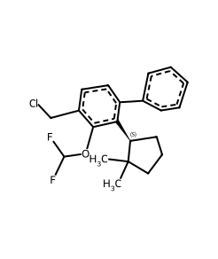 CC1(C)CCC[C@@H]1c1c(-c2ccccc2)ccc(CCl)c1OC(F)F